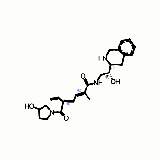 C=C/C(=C\C=C(/C)C(=O)NC[C@@H](O)[C@@H]1Cc2ccccc2CN1)C(=O)N1CCC(O)C1